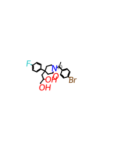 C[C@@H](c1ccc(Br)cc1)N1CCC(CC(O)CO)(c2ccc(F)cc2)CC1=O